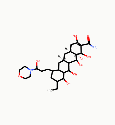 CCC1CC(CCC(O)N2CCOCC2)C2C[C@H]3C[C@H]4CC(O)=C(C(N)=O)C(O)[C@@]4(O)C(O)C3C(O)C2C1O